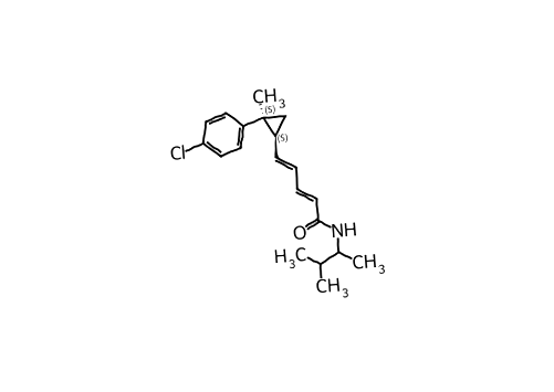 CC(C)C(C)NC(=O)C=CC=C[C@@H]1C[C@]1(C)c1ccc(Cl)cc1